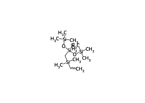 C=C[Si](C)(C)C[Si](C)(O[Si](C)(C)C)O[Si](C)(C)C